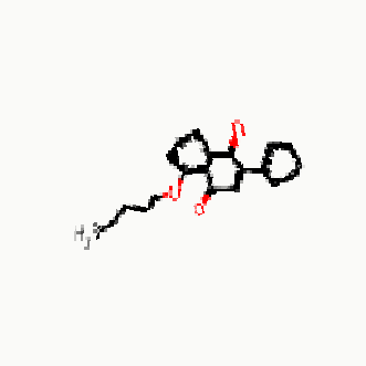 BCCCCOc1cccc2c1C(=O)C=C(c1ccccc1)C2=O